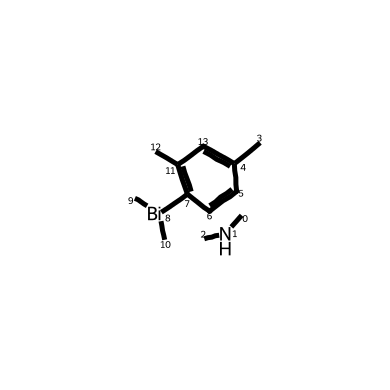 CNC.Cc1cc[c]([Bi]([CH3])[CH3])c(C)c1